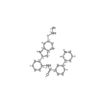 CC(C)NCc1cnc2sc(-c3ccccc3NC(=O)c3cccc(-c4cccnc4)c3)nc2c1